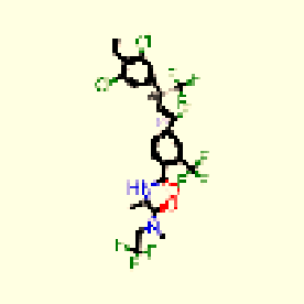 C=Cc1c(Cl)cc([C@@H](/C=C(\F)c2ccc(C(=O)N[C@H](C)C(=O)N(C)CC(F)(F)F)c(C(F)(F)F)c2)C(F)(F)F)cc1Cl